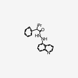 CC(C)C(C(=O)NNc1cccc2ncccc12)c1ccccc1